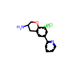 Cl.Cl.NC1COc2ccc(-c3ccccn3)cc2C1